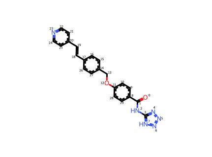 O=C(Nc1nnn[nH]1)c1ccc(OCc2ccc(C=Cc3ccncc3)cc2)cc1